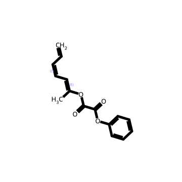 C=C/C=C\C=C(/C)OC(=O)C(=O)Oc1ccccc1